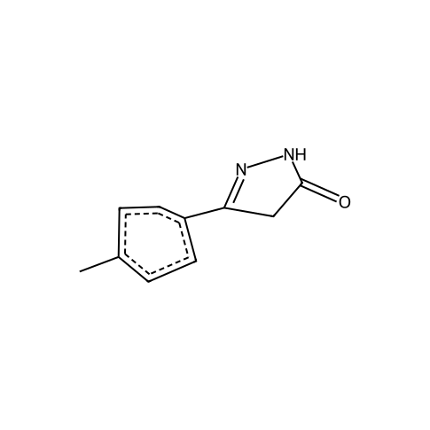 Cc1ccc(C2=NNC(=O)C2)cc1